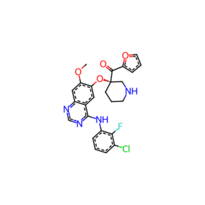 COc1cc2ncnc(Nc3cccc(Cl)c3F)c2cc1O[C@]1(C(=O)c2ccco2)CCCNC1